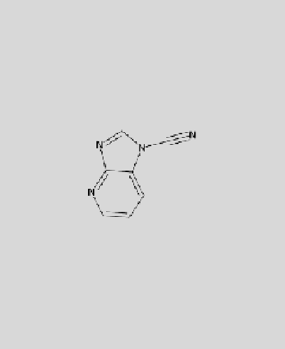 N#Cn1cnc2ncccc21